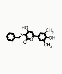 Cc1cc(-c2cc(O)c(SCc3ccccc3)c(=O)o2)cc(C)c1O